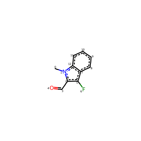 Cn1c(C=O)c(F)c2ccccc21